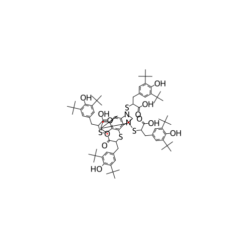 CC(C)(C)c1cc(CC(SOC(=O)C(Cc2cc(C(C)(C)C)c(O)c(C(C)(C)C)c2)Sc2c3c4c5c6c2N(SC(Cc2cc(C(C)(C)C)c(O)c(C(C)(C)C)c2)C(=O)O)C(CC(C4)(C3)C5)N6SC(Cc2cc(C(C)(C)C)c(O)c(C(C)(C)C)c2)C(=O)O)C(=O)O)cc(C(C)(C)C)c1O